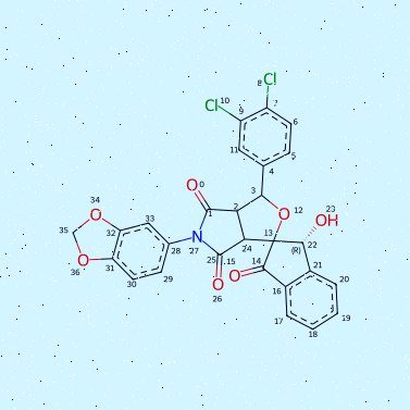 O=C1C2C(c3ccc(Cl)c(Cl)c3)OC3(C(=O)c4ccccc4[C@H]3O)C2C(=O)N1c1ccc2c(c1)OCO2